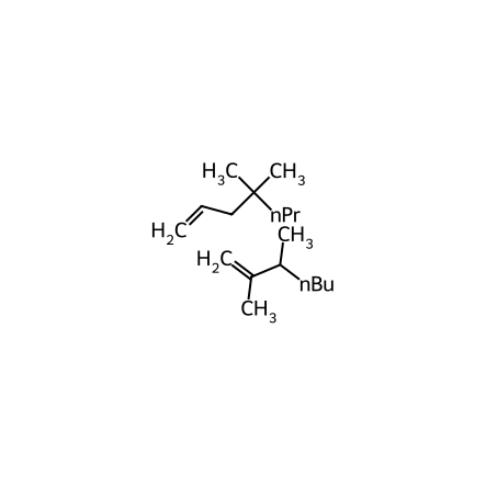 C=C(C)C(C)CCCC.C=CCC(C)(C)CCC